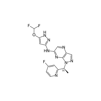 C[C@@H](c1cc(F)ccn1)n1ncc2ncc(Nc3cc(OC(F)F)[nH]n3)nc21